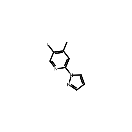 Cc1cc(-n2cccn2)ncc1I